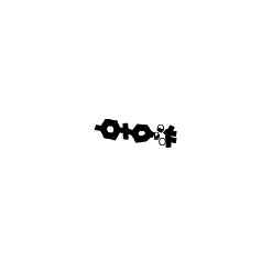 Cc1ccc(C(C)(C)c2ccc(B3OC(C)(C)C(C)(C)O3)cc2)cc1